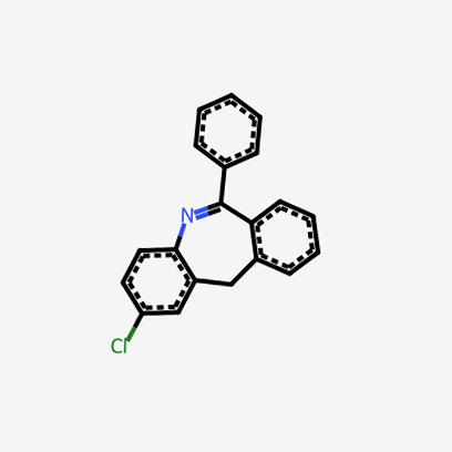 Clc1ccc2c(c1)Cc1ccccc1C(c1ccccc1)=N2